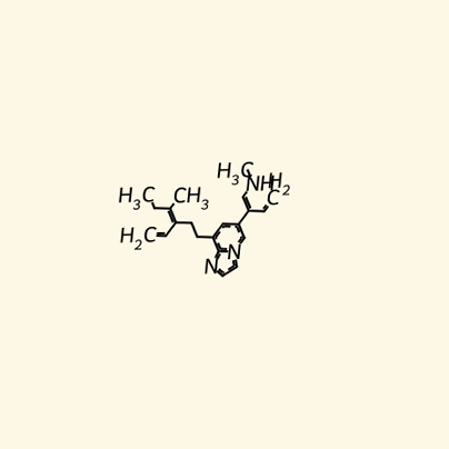 C=C/C(CCc1cc(/C(C=C)=C/NC)cn2ccnc12)=C(/C)CC